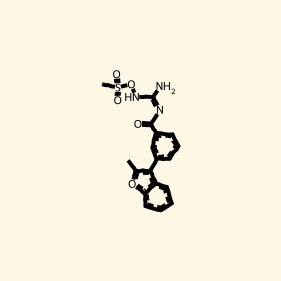 Cc1oc2ccccc2c1-c1cccc(C(=O)N=C(N)NOS(C)(=O)=O)c1